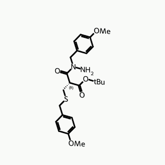 COc1ccc(CSC[C@@H](C(=O)OC(C)(C)C)C(=O)N(N)Cc2ccc(OC)cc2)cc1